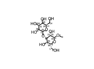 CO[C@H]1O[C@H](CO)[C@@H](O)[C@H](O[C@@H]2O[C@H](CO)[C@H](O)[C@H](O)[C@H]2O)[C@@H]1O